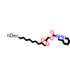 CCCCCCCCCCCCCCCCCC1COC(COC(=O)NCc2ccccn2)O1